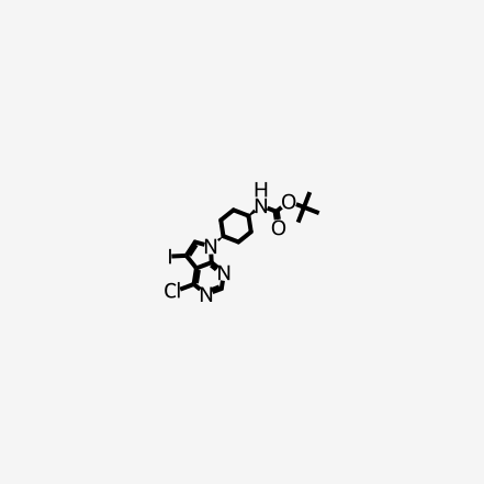 CC(C)(C)OC(=O)N[C@H]1CC[C@H](n2cc(I)c3c(Cl)ncnc32)CC1